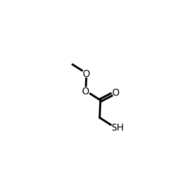 COOC(=O)CS